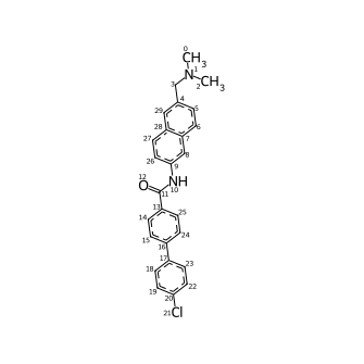 CN(C)Cc1ccc2cc(NC(=O)c3ccc(-c4ccc(Cl)cc4)cc3)ccc2c1